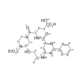 CCOC(=O)N1CCN(C(=O)C(CCC(=O)O)NC(=O)c2cc(NC(C)CO)nc(-c3ccccc3)n2)CC1.Cl